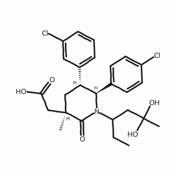 CCC(CC(C)(O)O)N1C(=O)[C@@](C)(CC(=O)O)C[C@H](c2cccc(Cl)c2)[C@H]1c1ccc(Cl)cc1